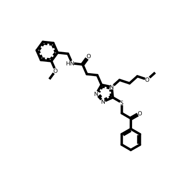 COCCCn1c(CCC(=O)NCc2ccccc2OC)nnc1SCC(=O)C1=CCCC=C1